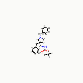 CC(C)(C)OC(=O)NCC1(Cc2ccccc2)CCN(Cc2ccccc2)C1